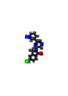 CC1(C)c2cc(Cl)ccc2C(=O)N1c1cncc(C2CCCNC2)n1